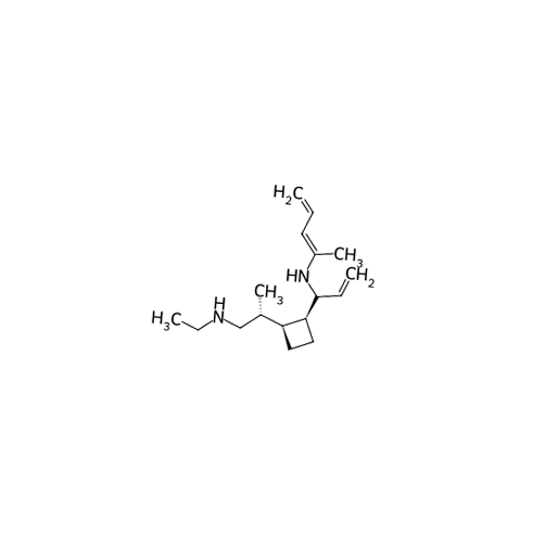 C=C/C=C(\C)NC(C=C)[C@H]1CC[C@H]1[C@@H](C)CNCC